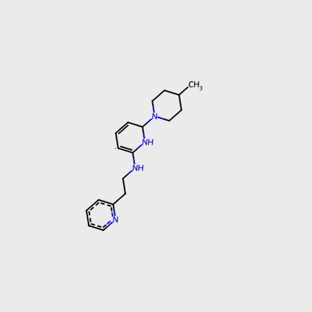 CC1CCN(C2C=C[C]=C(NCCc3ccccn3)N2)CC1